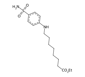 CCOC(=O)CCCCCCCNc1ccc(S(N)(=O)=O)cc1